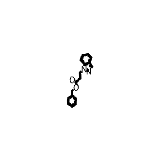 O=C(CCn1ncc2ccccc21)OCc1ccccc1